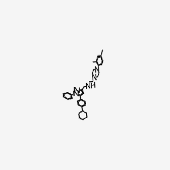 Cc1ccc(N2CCN(CCNCc3cc(-c4ccc(C5CCCCC5)cc4)n(-c4ccccc4)n3)CC2)c(C)c1